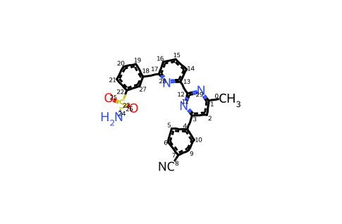 Cc1cc(-c2ccc(C#N)cc2)nc(-c2cccc(-c3cccc(S(N)(=O)=O)c3)n2)n1